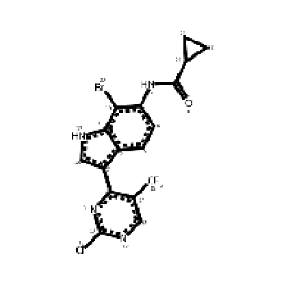 O=C(Nc1ccc2c(-c3nc(Cl)ncc3C(F)(F)F)c[nH]c2c1Br)C1CC1